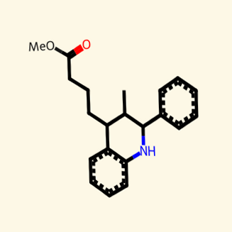 COC(=O)CCCC1c2ccccc2NC(c2ccccc2)C1C